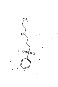 CCCNCCCS(=O)(=O)c1ccccc1